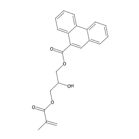 C=C(C)C(=O)OCC(O)COC(=O)c1cc2ccccc2c2ccccc12